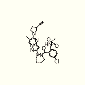 C#CC1CCN(c2nc3cc([C@@H]4CCCCN4C(=O)c4cc(Cl)ccc4NS(C)(=O)=O)nn3cc2C)C1